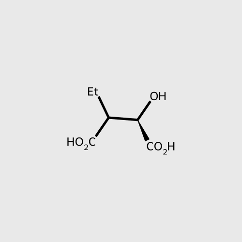 CCC(C(=O)O)[C@@H](O)C(=O)O